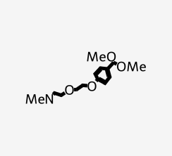 CNCCOCCOc1ccc(C(OC)OC)cc1